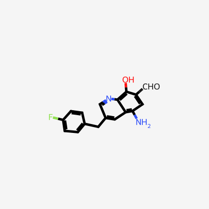 Nc1cc(C=O)c(O)c2ncc(Cc3ccc(F)cc3)cc12